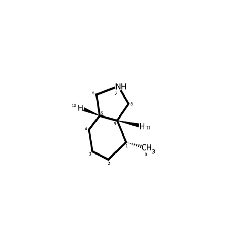 C[C@@H]1CCC[C@@H]2CNC[C@@H]21